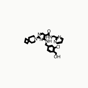 O=C(NCc1ncccn1)c1cnc(N2CCC3(CCC3)CC2)nc1NCc1ccc(CO)c(Cl)c1